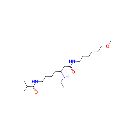 COCCCCCCNC(=O)CC(CCCCNC(=O)C(C)C)NC(C)C